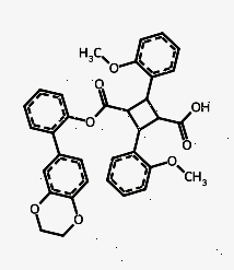 COc1ccccc1C1C(C(=O)O)C(c2ccccc2OC)C1C(=O)Oc1ccccc1-c1ccc2c(c1)OCCO2